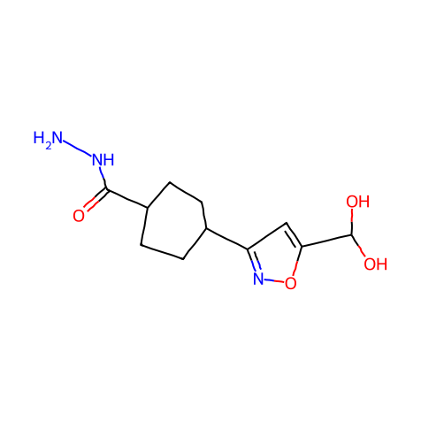 NNC(=O)C1CCC(c2cc(C(O)O)on2)CC1